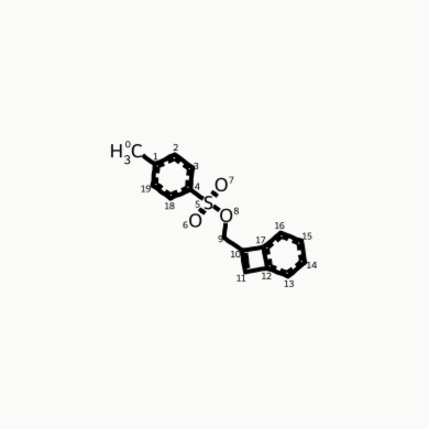 Cc1ccc(S(=O)(=O)OCC2=Cc3ccccc32)cc1